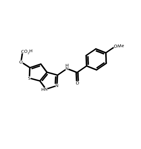 COc1ccc(C(=O)Nc2n[nH]c3sc(OC(=O)O)cc23)cc1